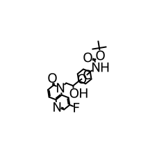 CC(C)(C)OC(=O)NC12CCC(C(O)Cn3c(=O)ccc4ncc(F)cc43)(CC1)OC2